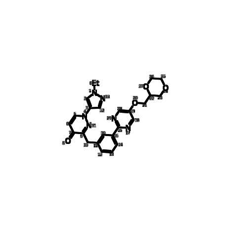 CCn1cc(-n2ccc(=O)c(Cc3cccc(-c4ncc(OCC5COCCO5)cn4)c3)n2)cn1